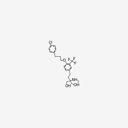 NC(CO)(CO)CCc1ccc(OCCCc2ccc(Cl)cc2)c(C(F)(F)F)c1